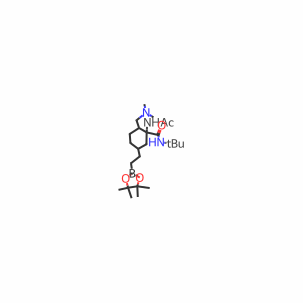 CC(=O)NC1(C(=O)NC(C)(C)C)CC(CCB2OC(C)(C)C(C)(C)O2)CCC1CN(C)C